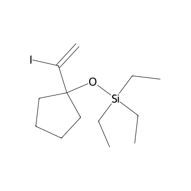 C=C(I)C1(O[Si](CC)(CC)CC)CCCC1